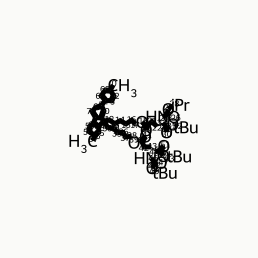 Cc1ccc(-c2ccc3c(c2)C(CCCCCCOC(=O)CC[C@H](NC(=O)OC(C)C)C(=O)OC(C)(C)C)(CCCCCCOC(=O)CC[C@@H](NC(=O)OC(C)(C)C)C(=O)OC(C)(C)C)c2cc(C)ccc2-3)cc1